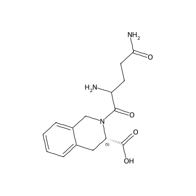 NC(=O)CCC(N)C(=O)N1Cc2ccccc2C[C@H]1C(=O)O